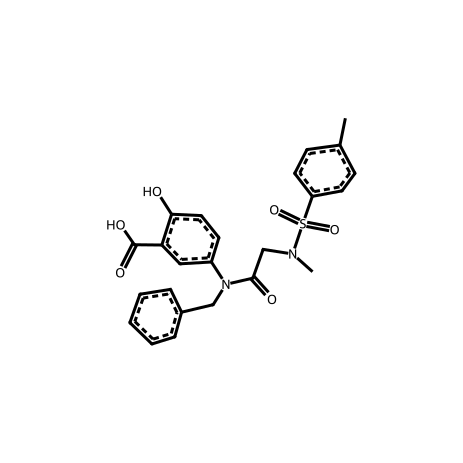 Cc1ccc(S(=O)(=O)N(C)CC(=O)N(Cc2ccccc2)c2ccc(O)c(C(=O)O)c2)cc1